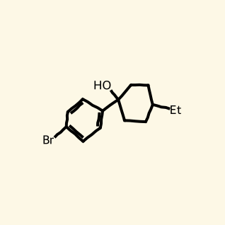 CCC1CCC(O)(c2ccc(Br)cc2)CC1